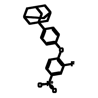 O=[N+]([O-])c1ccc(Oc2ccc(C34CC5CC(CC(C5)C3)C4)cc2)c(F)c1